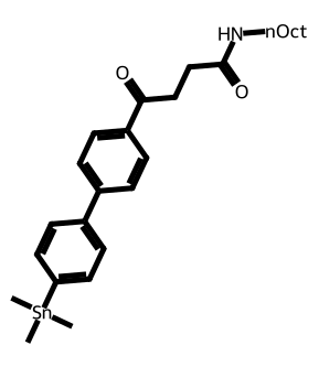 CCCCCCCCNC(=O)CCC(=O)c1ccc(-c2cc[c]([Sn]([CH3])([CH3])[CH3])cc2)cc1